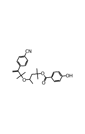 C=C(c1ccc(C#N)cc1)C(C)(C)OC(C)CC(C)(C)OC(=O)c1ccc(O)cc1